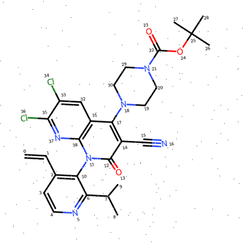 C=Cc1ccnc(C(C)C)c1-n1c(=O)c(C#N)c(N2CCN(C(=O)OC(C)(C)C)CC2)c2cc(Cl)c(Cl)nc21